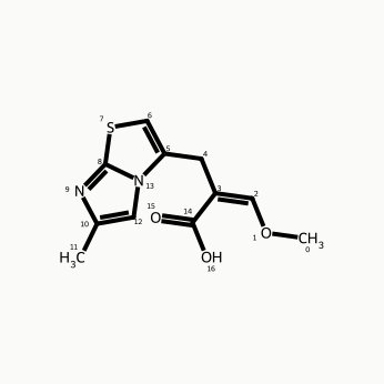 CO/C=C(/Cc1csc2nc(C)cn12)C(=O)O